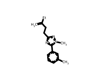 C=C(CC)CCc1nc(-c2cccc(C)c2)n(C)n1